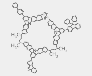 CC(C)c1ccc2cc3c(cc2c1)c1cc(-c2ccc(-c4ccccc4)cc2)cc2c4cc5cc(C(C)CCC(C)c6ccc7cc8c(cc7c6)c6cc(-c7ccc9sc%10ccccc%10c9c7)cc7c9cc%10cc(C(C)CCC(C)c%11ccc%12cc%13c(cc%12c%11)c%11cc(-c%12ccc%14c(c%12)C(c%12ccccc%12)(c%12ccccc%12)c%12ccccc%12-%14)cc%12c%14cc%15cc(C(C)C)ccc%15cc%14n%13c%12%11)ccc%10cc9n8c67)ccc5cc4n3c12